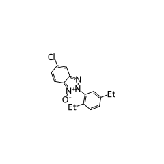 CCc1ccc(CC)c(-n2nc3cc(Cl)ccc3[n+]2[O-])c1